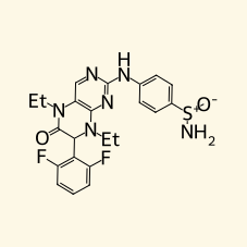 CCN1C(=O)C(c2c(F)cccc2F)N(CC)c2nc(Nc3ccc([S+](N)[O-])cc3)ncc21